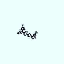 CC(C)(C)[S@@+]([O-])N=C(c1cnc(C2=CCN(c3ncnn4cc(Br)cc34)CC2)nc1)c1ccc(F)cc1F